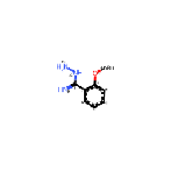 CCCCOc1ccccc1C(=N)NN